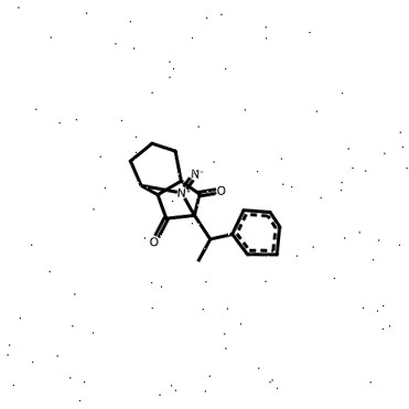 CC(c1ccccc1)C12C(=O)C3CCCC(C3C1=O)[N+]2=[N-]